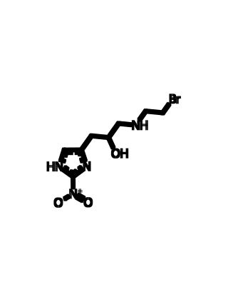 O=[N+]([O-])c1nc(CC(O)CNCCBr)c[nH]1